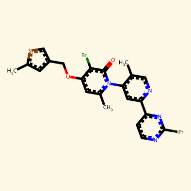 Cc1cc(COc2cc(C)n(-c3cc(-c4ccnc(C(C)C)n4)ncc3C)c(=O)c2Br)cs1